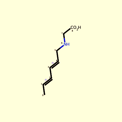 C/C=C/C=C/CNCC(=O)O